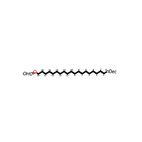 CCCCCCCCCCCCCCCCCCCCCCCCCCCCCO[C]=O